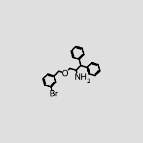 NC(COCc1cccc(Br)c1)C(c1ccccc1)c1ccccc1